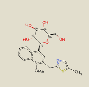 COc1c(Cc2ncc(C)s2)cc([C@@H]2O[C@H](CO)[C@@H](O)[C@H](O)[C@H]2O)c2ccccc12